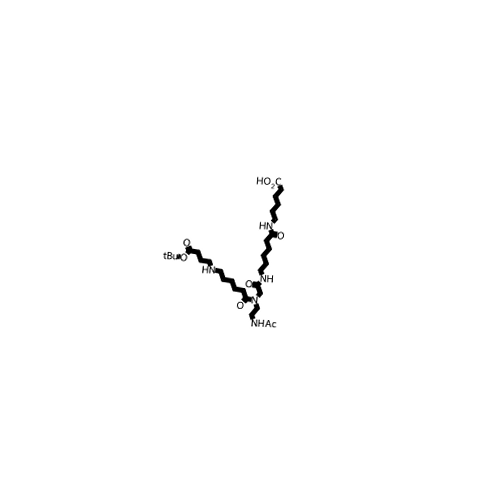 CC(=O)NCCN(CC(=O)NCCCCCC(=O)NCCCCCC(=O)O)C(=O)CCCCCNCCCC(=O)OC(C)(C)C